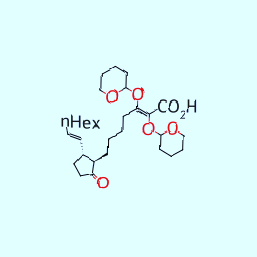 CCCCCC/C=C/[C@H]1CCC(=O)[C@@H]1CCCC/C(OC1CCCCO1)=C(\OC1CCCCO1)C(=O)O